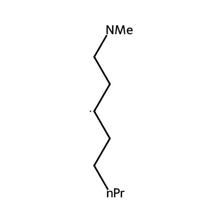 CCCCC[CH]CCNC